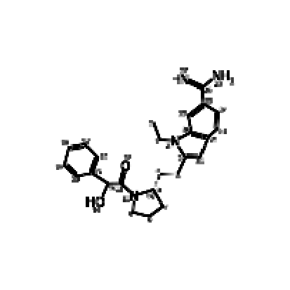 CCn1c(CC[C@@H]2CCCN2C(=O)C(O)c2ccccc2)cc2ccc(C(=N)N)cc21